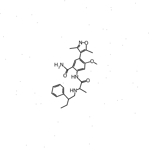 CCC(CNC(C)C(=O)Nc1cc(OC)c(-c2c(C)noc2C)cc1C(N)=O)c1ccccc1